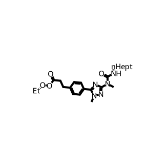 CCCCCCCNC(=O)N(C)c1nc(-c2ccc(CCC(=O)OOCC)cc2)n(C)n1